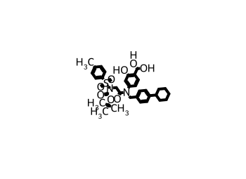 Cc1ccc(S(=O)(=O)N(CC(=O)N(Cc2ccc(C3CCCCC3)cc2)c2ccc(C(O)O)c(O)c2)C(=O)OC(C)(C)C)cc1